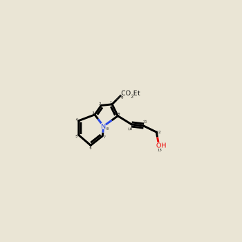 CCOC(=O)c1cc2ccccn2c1C#CCO